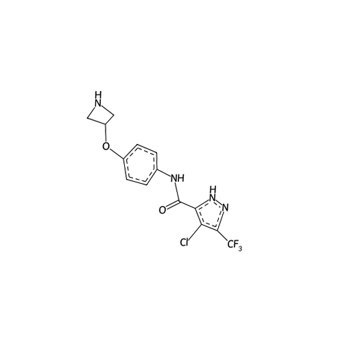 O=C(Nc1ccc(OC2CNC2)cc1)c1[nH]nc(C(F)(F)F)c1Cl